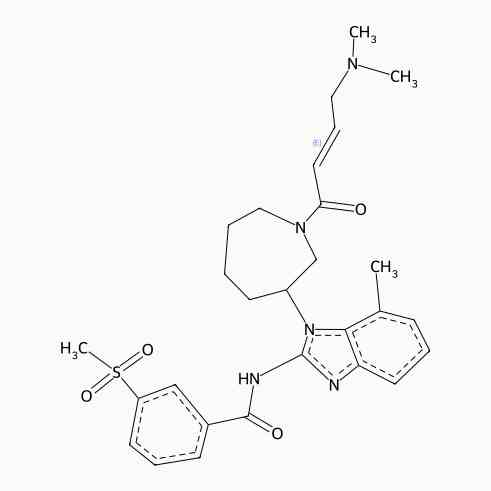 Cc1cccc2nc(NC(=O)c3cccc(S(C)(=O)=O)c3)n(C3CCCCN(C(=O)/C=C/CN(C)C)C3)c12